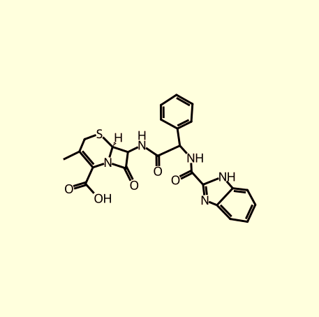 CC1=C(C(=O)O)N2C(=O)C(NC(=O)C(NC(=O)c3nc4ccccc4[nH]3)c3ccccc3)[C@@H]2SC1